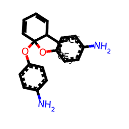 Nc1ccc(OC2(Oc3ccc(N)cc3)C=CC=CC2C(C(F)(F)F)C(F)(F)F)cc1